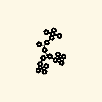 c1ccc(-c2c3ccccc3c(-c3ccccc3)c3cc(-c4ccc(N(c5ccccc5)c5ccc(-n6c7ccc(-c8ccc9c(c8)C(c8ccccc8)(c8ccccc8)c8ccccc8-9)cc7c7cc(-c8ccc9c(c8)C(c8ccccc8)(c8ccccc8)c8ccccc8-9)ccc76)cc5)cc4)ccc23)cc1